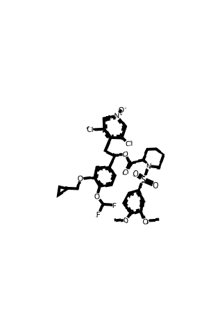 COc1ccc(S(=O)(=O)N2CCCCC2C(=O)OC(Cc2c(Cl)c[n+]([O-])cc2Cl)c2ccc(OC(F)F)c(OCC3CC3)c2)cc1OC